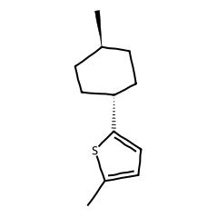 Cc1ccc([C@H]2CC[C@H](C)CC2)s1